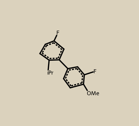 COc1ccc(-c2cc(F)ccc2C(C)C)cc1F